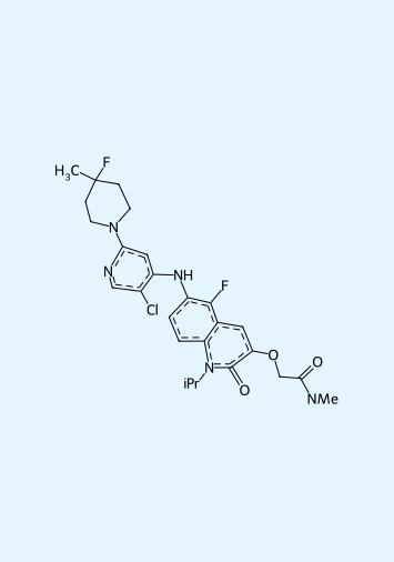 CNC(=O)COc1cc2c(F)c(Nc3cc(N4CCC(C)(F)CC4)ncc3Cl)ccc2n(C(C)C)c1=O